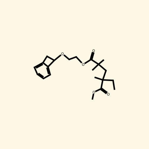 CCC(C)(CC(C)(C)C(=O)OCCOC1Cc2ccccc21)C(=O)OC